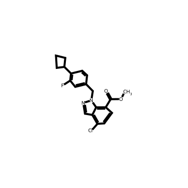 COC(=O)c1ccc(Cl)c2cnn(Cc3ccc(C4CCC4)c(F)c3)c12